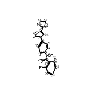 O=C(Nc1ccc(-c2csc(-c3ncco3)c2)cc1)c1c(F)cccc1F